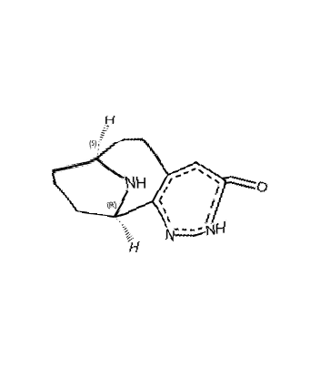 O=c1cc2c(n[nH]1)[C@H]1CC[C@@H](C2)N1